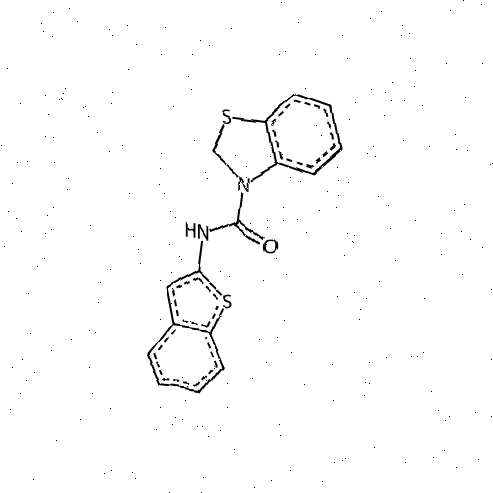 O=C(Nc1cc2ccccc2s1)N1CSc2ccccc21